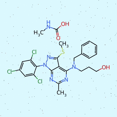 CNC(=O)O.CSc1nn(-c2c(Cl)cc(Cl)cc2Cl)c2nc(C)nc(N(CCCO)Cc3ccccc3)c12